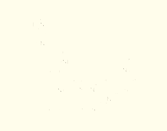 Cc1cc(NC(=O)C(=O)N2C[C@@H](C)CCC2c2ccc(N(C)C3CCN(C)CC3)nc2)cnc1N